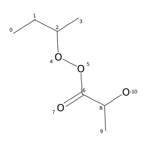 CCC(C)OOC(=O)C(C)[O]